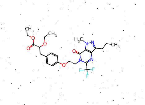 CCCc1nn(C)c2c(=O)n(CCOc3ccc(CC(OCC)C(=O)OCC)cc3)c(C(F)(F)F)nc12